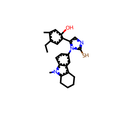 CCc1cc(-c2cnc(S)n2-c2ccc3c(c2)c2c(n3C)CCCC2)c(O)cc1C